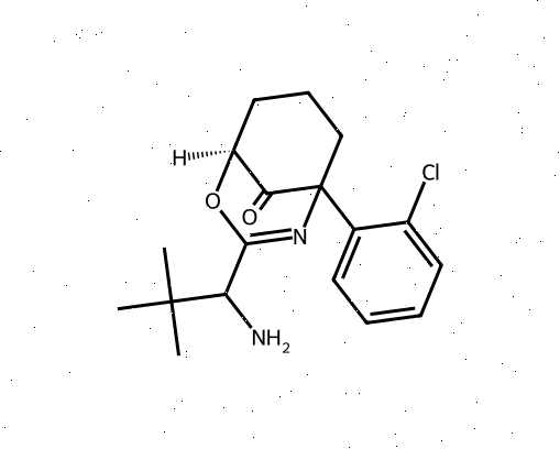 CC(C)(C)C(N)C1=NC2(c3ccccc3Cl)CCC[C@H](O1)C2=O